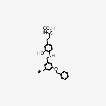 CC(C)c1cc(CNc2ccc(CC[C@H](C)NC(=O)O)cc2O)cc(OCc2ccccc2)c1